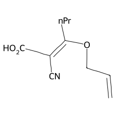 C=CCOC(CCC)=C(C#N)C(=O)O